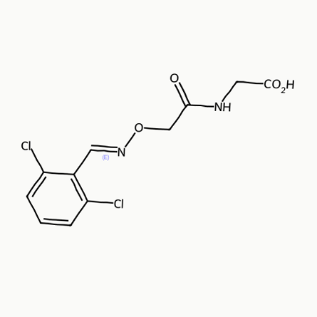 O=C(O)CNC(=O)CO/N=C/c1c(Cl)cccc1Cl